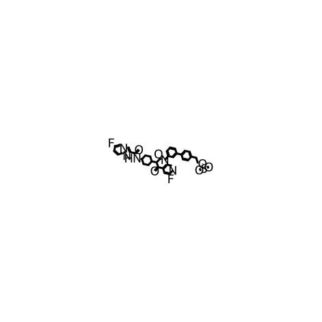 CS(=O)(=O)OCCc1ccc(-c2cccc(N3C(=O)C(C4CCC(NC(=O)c5cn6cc(F)ccc6n5)CC4)C(=O)c4cc(F)ncc43)c2)cc1